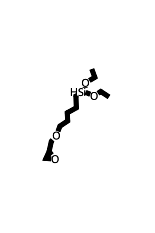 CCO[SiH](CCCCCOCC1CO1)OCC